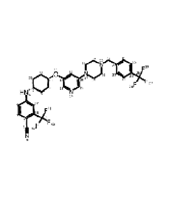 N#Cc1ccc(N[C@H]2CC[C@H](Oc3cncc(N4CCN(Cc5ccc(C(F)(F)F)cc5)CC4)c3)CC2)cc1C(F)(F)F